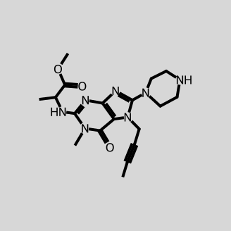 CC#CCn1c(N2CCNCC2)nc2nc(NC(C)C(=O)OC)n(C)c(=O)c21